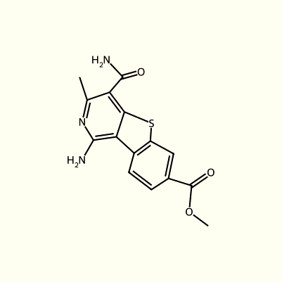 COC(=O)c1ccc2c(c1)sc1c(C(N)=O)c(C)nc(N)c12